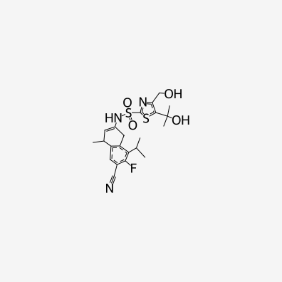 CC(C)c1c(F)c(C#N)cc2c1CC(NS(=O)(=O)c1nc(CO)c(C(C)(C)O)s1)=CC2C